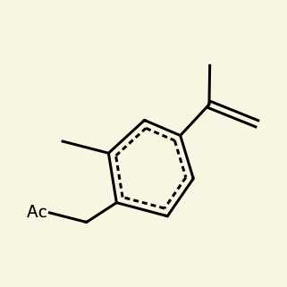 C=C(C)c1ccc(CC(C)=O)c(C)c1